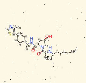 C#CCCCCCNC(C(=O)N1C[C@H](O)C[C@H]1C(=O)N[C@@H](C)c1ccc(-c2scnc2C)cc1)C(C)(C)C